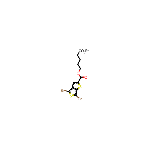 CCOC(=O)CCCCOC(=O)c1cc2c(Br)sc(Br)c2s1